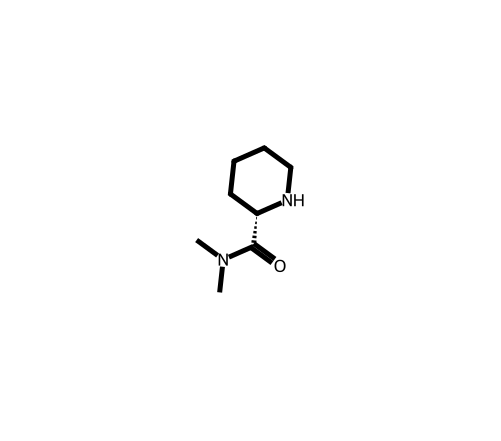 CN(C)C(=O)[C@@H]1CCCCN1